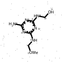 COCNc1nc(N)nc(NCO)n1